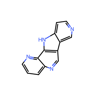 c1cnc2c(c1)ncc1c3cnccc3[nH]c12